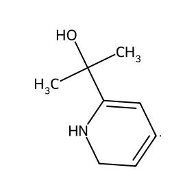 CC(C)(O)C1=C[C]=CCN1